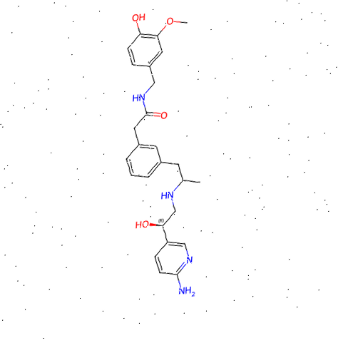 COc1cc(CNC(=O)Cc2cccc(CC(C)NC[C@H](O)c3ccc(N)nc3)c2)ccc1O